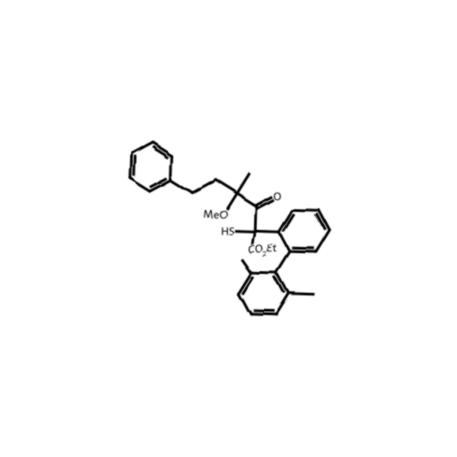 CCOC(=O)C(S)(C(=O)C(C)(CCc1ccccc1)OC)c1ccccc1-c1c(C)cccc1C